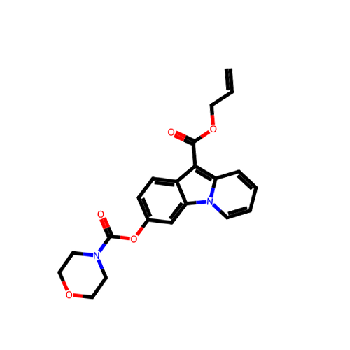 C=CCOC(=O)c1c2ccc(OC(=O)N3CCOCC3)cc2n2ccccc12